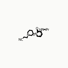 CC(C)Nc1cccn([C@@H]2CCCN(CCC#N)C2)c1=O